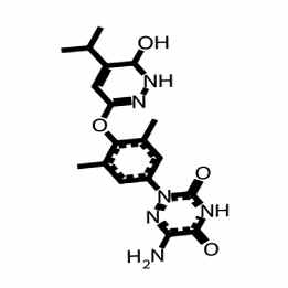 Cc1cc(-n2nc(N)c(=O)[nH]c2=O)cc(C)c1OC1=NNC(O)C(C(C)C)=C1